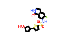 O=c1[nH]ccc2cc(F)c(NS(=O)(=O)c3ccc(C4=CCC(O)C4)s3)cc12